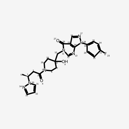 C[C@@H](CC(=O)N1CCC(O)(Cn2cnc3c(cnn3-c3ccc(F)cc3)c2=O)CC1)n1cccn1